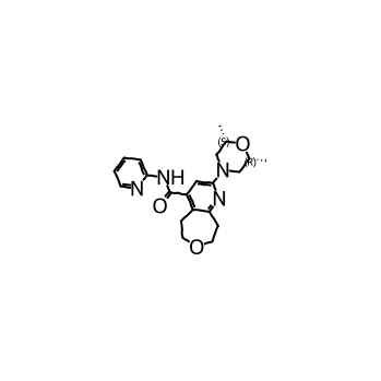 C[C@@H]1CN(c2cc(C(=O)Nc3ccccn3)c3c(n2)CCOCC3)C[C@H](C)O1